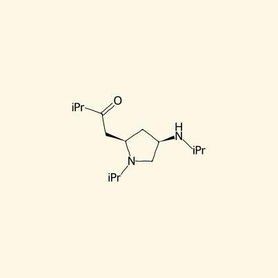 CC(C)N[C@@H]1C[C@H](CC(=O)C(C)C)N(C(C)C)C1